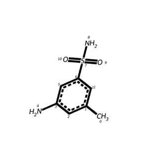 Cc1cc(N)cc(S(N)(=O)=O)c1